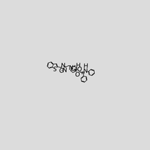 O=C(O[C@H]1C[N+]2(Cc3noc(-c4cc5ccccc5s4)n3)CCC1CC2)[C@H](Nc1ccccc1)c1ccccc1